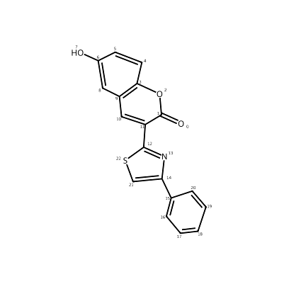 O=c1oc2ccc(O)cc2cc1-c1nc(-c2ccccc2)cs1